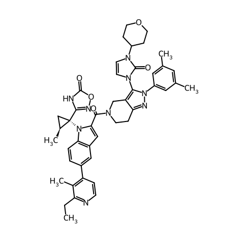 CCc1nccc(-c2ccc3c(c2)cc(C(=O)N2CCc4nn(-c5cc(C)cc(C)c5)c(-n5ccn(C6CCOCC6)c5=O)c4C2)n3[C@@]2(c3noc(=O)[nH]3)C[C@@H]2C)c1C